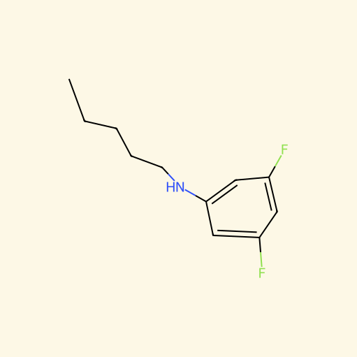 CCCCCNc1cc(F)cc(F)c1